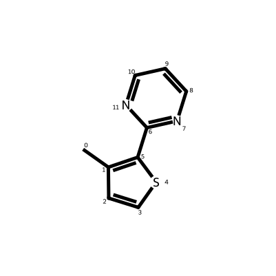 Cc1ccsc1-c1ncccn1